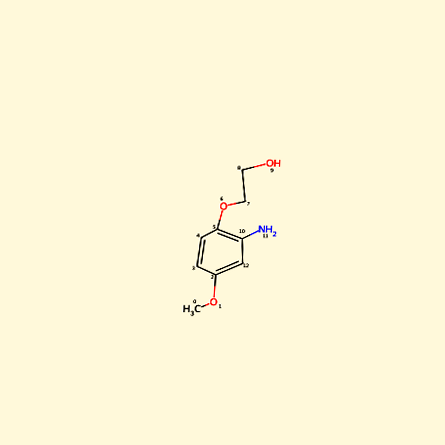 COc1ccc(OCCO)c(N)c1